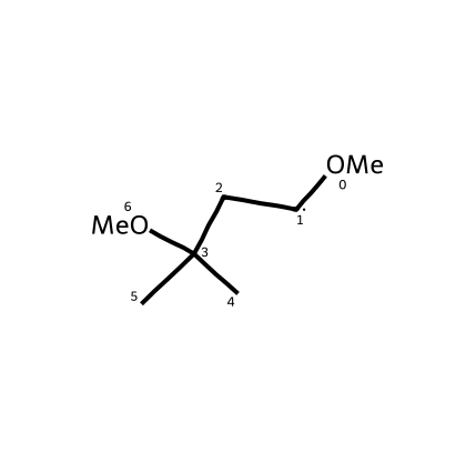 CO[CH]CC(C)(C)OC